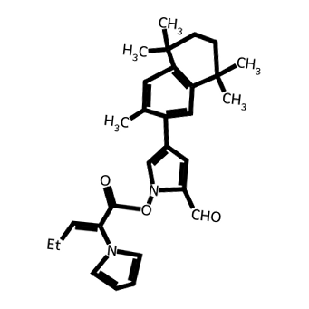 CCC=C(C(=O)On1cc(-c2cc3c(cc2C)C(C)(C)CCC3(C)C)cc1C=O)n1cccc1